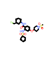 CS(=O)(=O)N1CCC(Oc2ccc(C(=O)Nc3cccc(CF)c3)c(NS(=O)(=O)c3ccccc3)c2)CC1